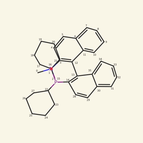 CN(C)c1ccc2ccccc2c1-c1c(P(C2CCCCC2)C2CCCCC2)ccc2ccccc12